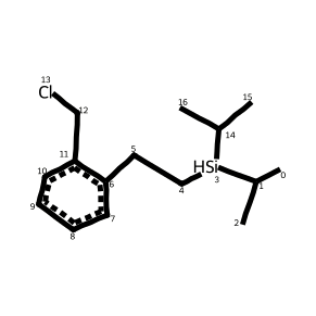 CC(C)[SiH](CCc1ccccc1CCl)C(C)C